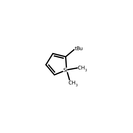 CC(C)(C)C1=CC=C[Si]1(C)C